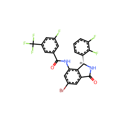 O=C(Nc1cc(Br)cc2c1[C@H](c1cccc(F)c1F)NC2=O)c1cc(F)cc(C(F)(F)F)c1